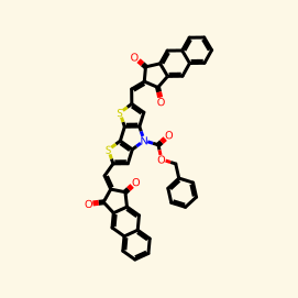 O=C1C(=Cc2cc3c(s2)c2sc(C=C4C(=O)c5cc6ccccc6cc5C4=O)cc2n3C(=O)OCc2ccccc2)C(=O)c2cc3ccccc3cc21